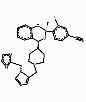 C[C@@]1(c2ccc(C#N)cc2F)Oc2ccccc2[C@H](C2CCN(CC3=CC=C[SH]3Cc3ncco3)CC2)O1